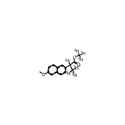 [2H]C([2H])([2H])OC(=O)C([2H])(c1ccc2cc(OC)ccc2c1)C([2H])([2H])[2H]